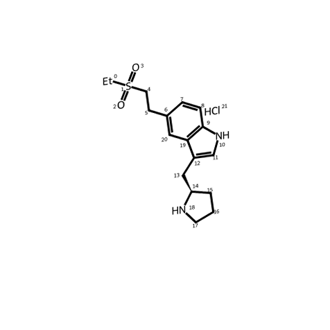 CCS(=O)(=O)CCc1ccc2[nH]cc(C[C@H]3CCCN3)c2c1.Cl